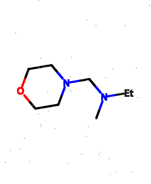 [CH2]CN(C)CN1CCOCC1